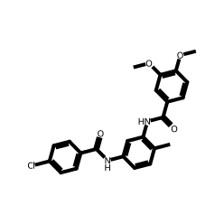 COc1ccc(C(=O)Nc2cc(NC(=O)c3ccc(Cl)cc3)ccc2C)cc1OC